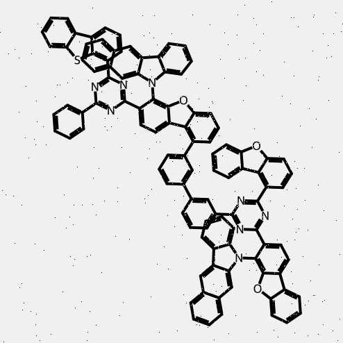 c1ccc(-c2nc(-c3ccc4c(oc5cccc(-c6cccc(-c7cccc(-c8nc(-c9ccc%10c(oc%11ccccc%11%10)c9-n9c%10ccccc%10c%10cc%11ccccc%11cc%109)nc(-c9cccc%10oc%11ccccc%11c9%10)n8)c7)c6)c54)c3-n3c4ccccc4c4cc5ccccc5cc43)nc(-c3cccc4c3sc3ccccc34)n2)cc1